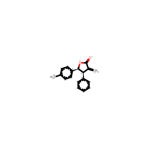 C=C1C(=O)O[C@H](c2ccc(C)cc2)[C@@H]1c1ccccc1